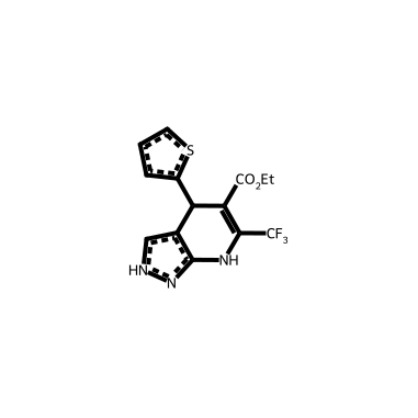 CCOC(=O)C1=C(C(F)(F)F)Nc2n[nH]cc2C1c1cccs1